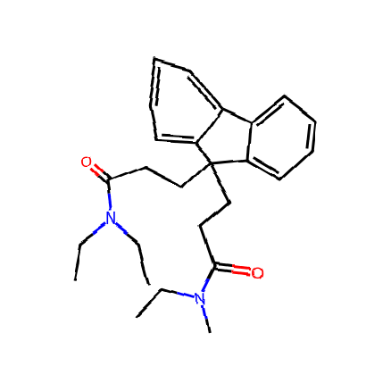 CCN(C)C(=O)CCC1(CCC(=O)N(CC)CC)c2ccccc2-c2ccccc21